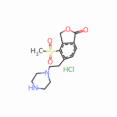 CS(=O)(=O)c1c(CCN2CCNCC2)ccc2c1COC2=O.Cl